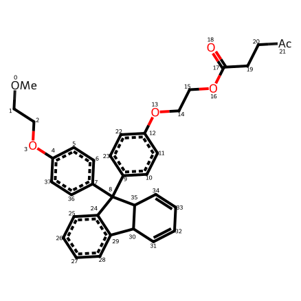 COCCOc1ccc(C2(c3ccc(OCCOC(=O)CCC(C)=O)cc3)c3ccccc3C3C=CC=CC32)cc1